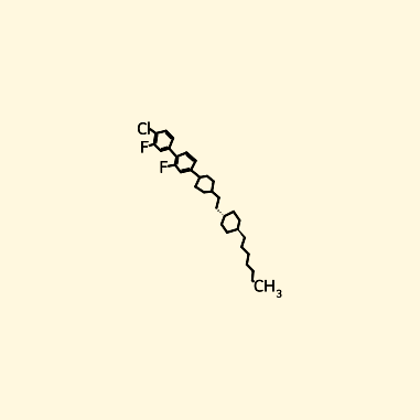 CCCCCCC[C@H]1CC[C@H](CCC2CCC(c3ccc(-c4ccc(Cl)c(F)c4)c(F)c3)CC2)CC1